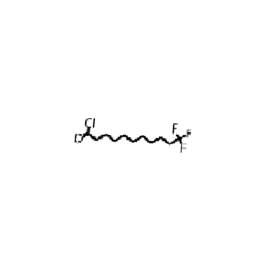 O=C(Cl)CCCCCCCCCC(F)(F)F